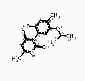 Cc1cc(=O)n(-c2cc(OC(C)C)c(C)cc2F)c(=O)o1